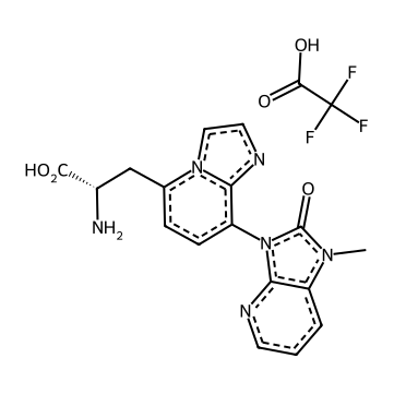 Cn1c(=O)n(-c2ccc(C[C@H](N)C(=O)O)n3ccnc23)c2ncccc21.O=C(O)C(F)(F)F